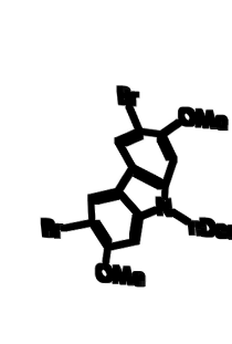 CCCCCCCCCCn1c2cc(OC)c(Br)cc2c2cc(Br)c(OC)cc21